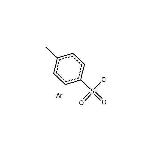 Cc1ccc(S(=O)(=O)Cl)cc1.[Ar]